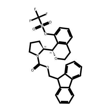 O=C(OCC1c2ccccc2-c2ccccc21)N1CCC[C@H]1[C@H]1OCCc2cccc(OS(=O)(=O)C(F)(F)F)c21